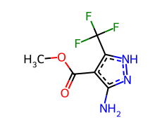 COC(=O)c1c(N)n[nH]c1C(F)(F)F